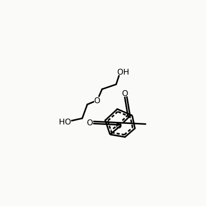 O=c1oc(=O)c2ccc1cc2.OCCOCCO